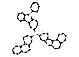 c1ccc(-n2c3ccccc3c3cc(N(c4ccc5c(ccc6ccccc65)c4)c4ccc5c(c4)oc4ccc6ccccc6c45)ccc32)cc1